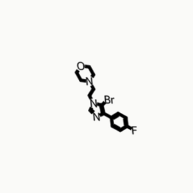 Fc1ccc(-c2ncn(CCN3CCOCC3)c2Br)cc1